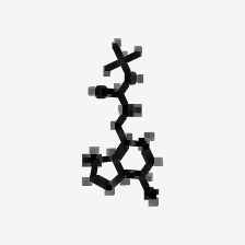 CC(C)(C)OC(=O)NCc1ncc(Br)c2cc[nH]c12